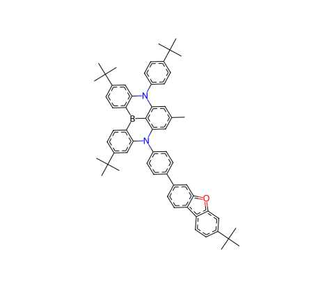 Cc1cc2c3c(c1)N(c1ccc(C(C)(C)C)cc1)c1cc(C(C)(C)C)ccc1B3c1ccc(C(C)(C)C)cc1N2c1ccc(-c2ccc3c(c2)oc2cc(C(C)(C)C)ccc23)cc1